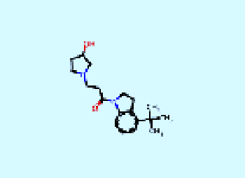 CC(C)(C)c1cccc2c1CCN2C(=O)CCN1CCC(O)C1